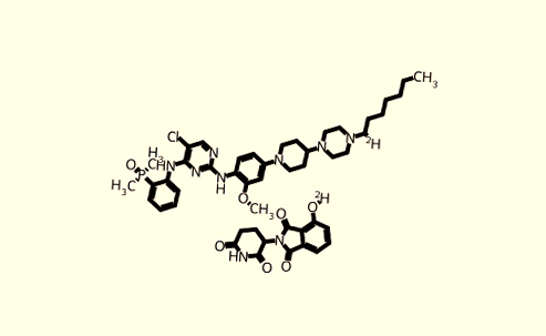 [2H]C(CCCCCC)N1CCN(C2CCN(c3ccc(Nc4ncc(Cl)c(Nc5ccccc5P(C)(C)=O)n4)c(OC)c3)CC2)CC1.[2H]Oc1cccc2c1C(=O)N(C1CCC(=O)NC1=O)C2=O